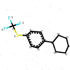 FC(F)(F)Sc1ccc(C2CCCCC2)cc1